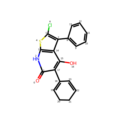 O=c1[nH]c2sc(Cl)c(-c3ccccc3)c2c(O)c1C1=CCCC=C1